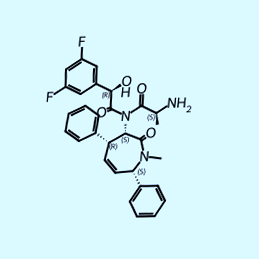 C[C@H](N)C(=O)N(C(=O)[C@H](O)c1cc(F)cc(F)c1)[C@@H]1C(=O)N(C)[C@H](c2ccccc2)C=C[C@@H]1c1ccccc1